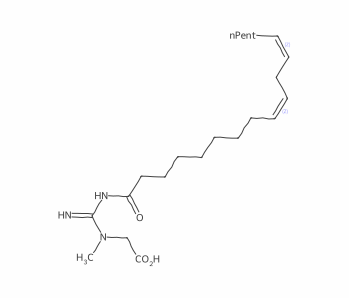 CCCCC/C=C\C/C=C\CCCCCCCC(=O)NC(=N)N(C)CC(=O)O